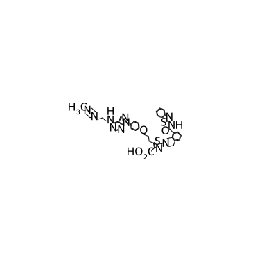 CN1CCN(CCCNc2ncnc3c2cnn3-c2ccc(OCCCc3sc(N4CCc5cccc(C(=O)Nc6nc7ccccc7s6)c5C4)nc3C(=O)O)cc2)CC1